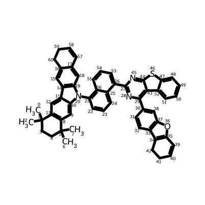 CC1(C)CCC(C)(C)c2cc3c(cc21)c1cc2c(cc1n3-c1cccc3c(-c4nc(-c5ccc6c7c(oc6c5)C=CCC7)c5c(n4)sc4ccccc45)cccc13)C=CCC2